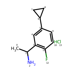 CC(N)c1cc(C2CC2)ccc1F.Cl